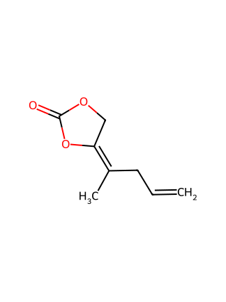 C=CCC(C)=C1COC(=O)O1